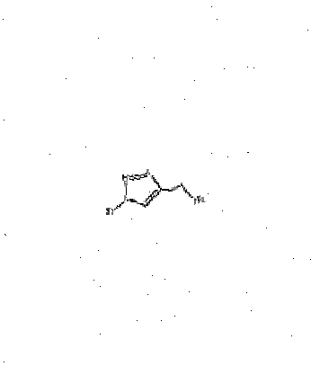 CC(C)n1cc(CC(C)(C)C)nn1